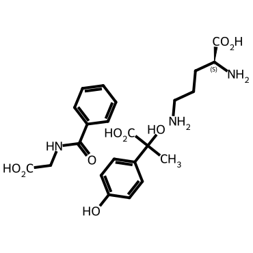 CC(O)(C(=O)O)c1ccc(O)cc1.NCCC[C@H](N)C(=O)O.O=C(O)CNC(=O)c1ccccc1